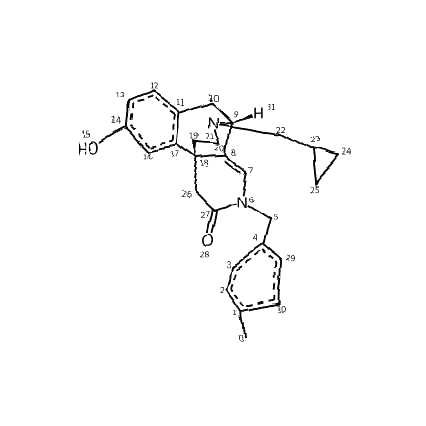 Cc1ccc(CN2C=C3[C@H]4Cc5ccc(O)cc5[C@@]3(CCN4CC3CC3)CC2=O)cc1